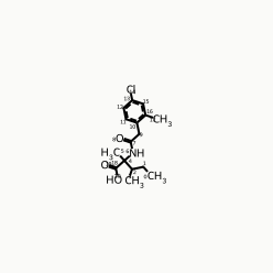 CCC(C)C(C)(NC(=O)Cc1ccc(Cl)cc1C)C(=O)O